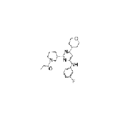 CCC(=O)N1CCCC(c2nc(Nc3cccc(F)c3)cc(C3CCOCC3)n2)C1